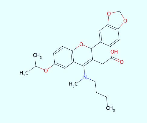 CCCCN(C)C1=C(CC(=O)O)C(c2ccc3c(c2)OCO3)Oc2ccc(OC(C)C)cc21